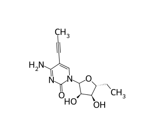 CC#Cc1cn(C2O[C@H](CC)[C@@H](O)[C@H]2O)c(=O)nc1N